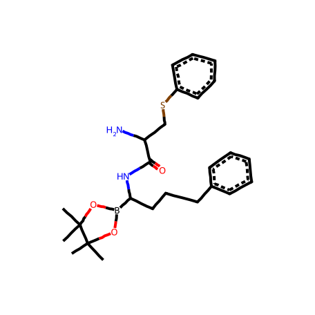 CC1(C)OB(C(CCCc2ccccc2)NC(=O)C(N)CSc2ccccc2)OC1(C)C